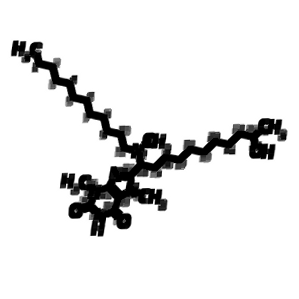 CCCCCCCCCCCCN(C)C(CCCCCCCCC(C)O)c1nc2c(c(=O)[nH]c(=O)n2C)n1C